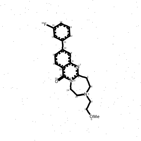 COCCN1CCc2nc3cc(-c4cccc(F)c4)ccc3c(=O)n2CC1